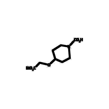 CCOC(=O)COC1CCN(C(=O)O)CC1